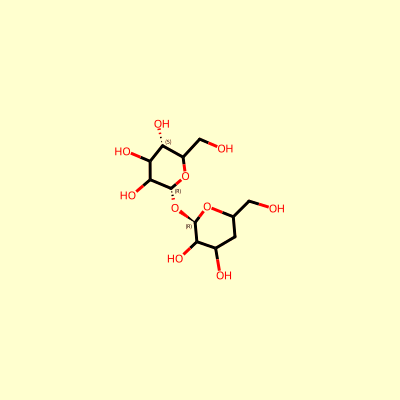 OCC1CC(O)C(O)[C@@H](O[C@H]2OC(CO)[C@@H](O)C(O)C2O)O1